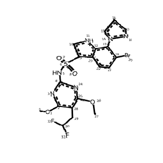 COc1nc(NS(=O)(=O)c2c[nH]c3c(-n4cccn4)c(Br)ccc23)nc(OC)c1CC(F)F